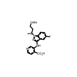 COCC[C@H](C)n1nc(Nc2cnccc2C(=O)O)c2cc(F)ccc21